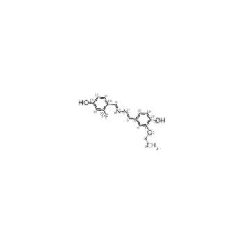 CCOc1cc(/C=N/N=C/c2ccc(O)cc2F)ccc1O